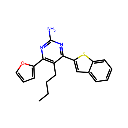 CCCCc1c(-c2ccco2)nc(N)nc1-c1cc2ccccc2s1